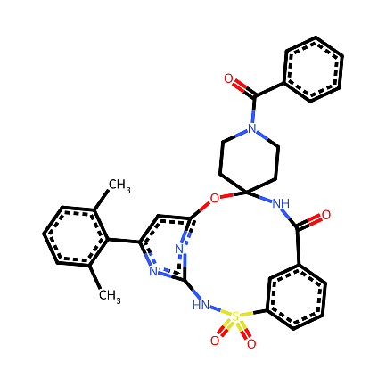 Cc1cccc(C)c1-c1cc2nc(n1)NS(=O)(=O)c1cccc(c1)C(=O)NC1(CCN(C(=O)c3ccccc3)CC1)O2